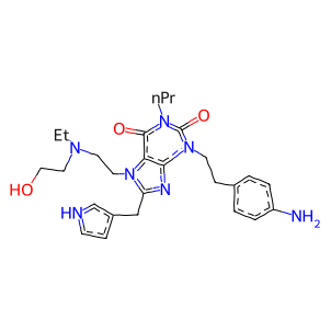 CCCn1c(=O)c2c(nc(Cc3cc[nH]c3)n2CCN(CC)CCO)n(CCc2ccc(N)cc2)c1=O